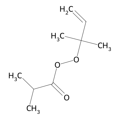 C=CC(C)(C)OOC(=O)C(C)C